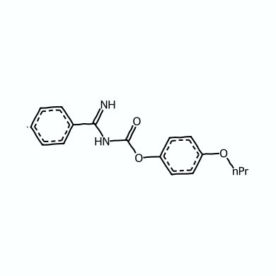 CCCOc1ccc(OC(=O)NC(=N)c2cc[c]cc2)cc1